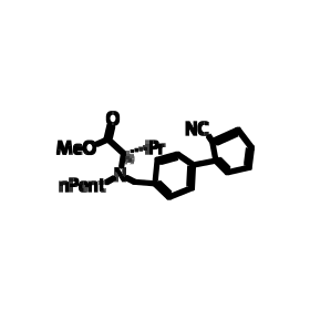 CCCCCN(Cc1ccc(-c2ccccc2C#N)cc1)[C@H](C(=O)OC)C(C)C